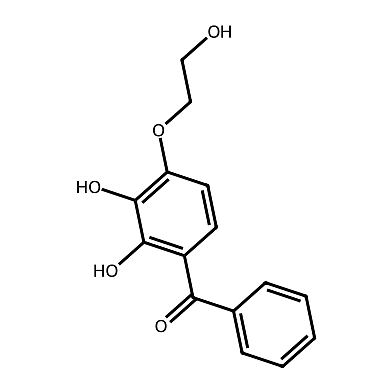 O=C(c1ccccc1)c1ccc(OCCO)c(O)c1O